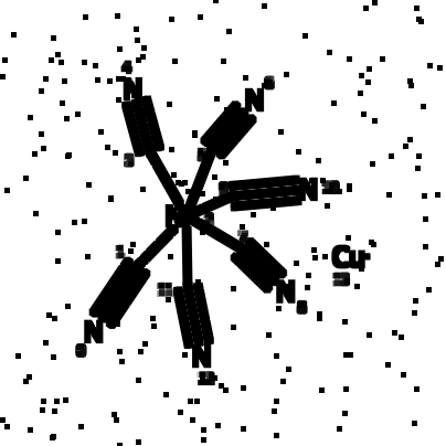 N#[C][Ni]([C]#N)([C]#N)([C]#N)([C]#N)[C]#N.[Cu]